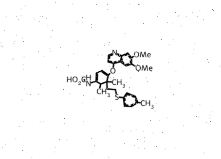 COc1cc2nccc(OC3=CC=C(NC(=O)O)C(C)C3(C)CCSc3ccc(C)cc3)c2cc1OC